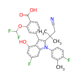 Cc1cc(-n2c(C(C)(C)CC#N)c(-c3ccc(C(=O)O)c(OC(F)F)c3)c3c(O)cc(F)cc32)ccc1F